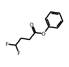 O=C(CCC(F)F)Oc1ccccc1